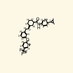 O=C(Nc1ccc(C2CC2)nc1)C1CCCC(=CCc2cccc(Oc3ccc(C(F)(F)F)cn3)c2)C1